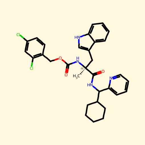 C[C@@](Cc1c[nH]c2ccccc12)(NC(=O)OCc1ccc(Cl)cc1Cl)C(=O)NC(c1ccccn1)C1CCCCC1